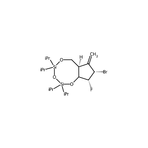 C=C1[C@@H]2CO[Si](C(C)C)(C(C)C)O[Si](C(C)C)(C(C)C)OC2[C@@H](F)[C@H]1Br